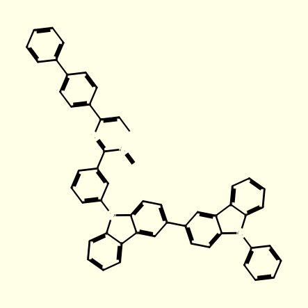 C=N/C(=N\C(=C/C)c1ccc(-c2ccccc2)cc1)c1cccc(-n2c3ccccc3c3cc(-c4ccc5c(c4)c4ccccc4n5-c4ccccc4)ccc32)c1